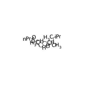 CCCC(=O)O[C@H]1CC[C@@]2(C)C(=CC[C@H]3[C@@H]4CC[C@H]([C@H](C)CC[C@@H](C)C(C)C)[C@@]4(C)CC[C@@H]32)C1